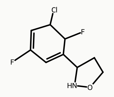 FC1=CC(Cl)C(F)C(C2CCON2)=C1